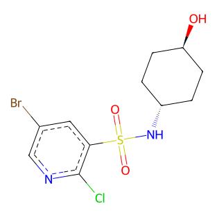 O=S(=O)(N[C@H]1CC[C@H](O)CC1)c1cc(Br)cnc1Cl